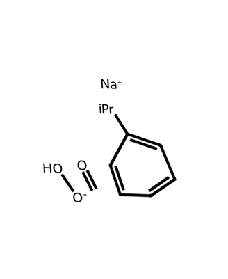 C=O.CC(C)c1ccccc1.[Na+].[O-]O